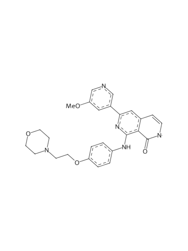 COc1cncc(-c2cc3c(c(Nc4ccc(OCCN5CCOCC5)cc4)n2)C(=O)[N]C=C3)c1